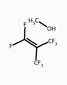 CO.FC(F)=C(C(F)(F)F)C(F)(F)F